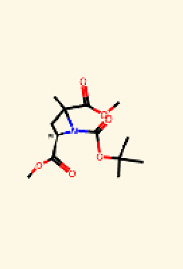 COC(=O)[C@H]1CC(C)(C(=O)OC)N1C(=O)OC(C)(C)C